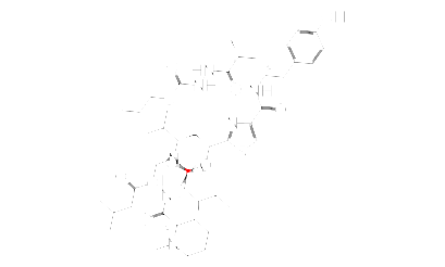 CCCOC(=O)NNC(=O)[C@@H](C)C[C@H](Cc1ccc(O)cc1)NC(=O)c1csc([C@H](C[C@H](C(C)C)N(COC(=O)CC(C)C)C(=O)[C@@H](NC(=O)[C@H]2CCCCN2C)C(C)CC)OC(C)=O)n1